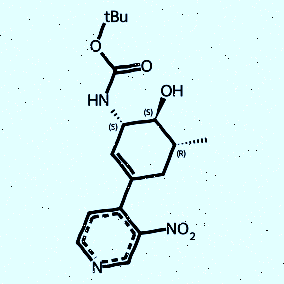 C[C@@H]1CC(c2ccncc2[N+](=O)[O-])=C[C@H](NC(=O)OC(C)(C)C)[C@H]1O